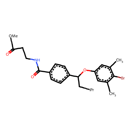 COC(=O)CCNC(=O)c1ccc(C(CC(C)C)Oc2cc(C)c(Br)c(C)c2)cc1